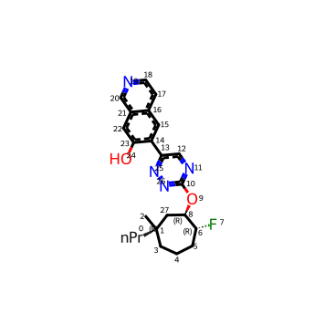 CCC[C@]1(C)CCC[C@@H](F)[C@H](Oc2ncc(-c3cc4ccncc4cc3O)nn2)C1